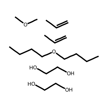 C=CC.C=CC.CCCCOCCCC.COC.OCCO.OCCO